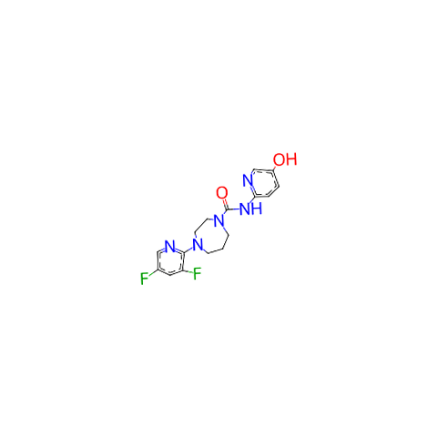 O=C(Nc1ccc(O)cn1)N1CCCN(c2ncc(F)cc2F)CC1